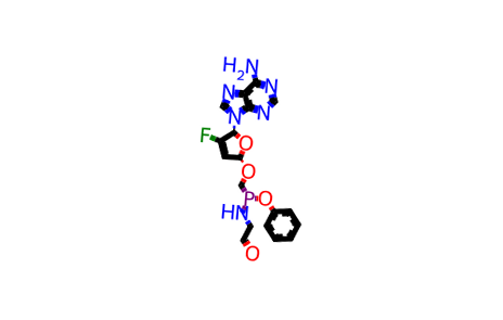 Nc1ncnc2c1ncn2[C@@H]1O[C@H](OCP(NCC=O)Oc2ccccc2)C=C1F